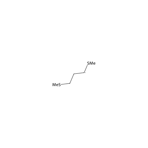 CS[CH]CCSC